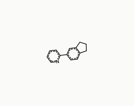 c1ccc(-c2ccc3c(c2)CCC3)nc1